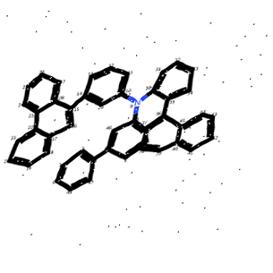 c1ccc(-c2cccc(N(c3cccc(-c4cc5ccccc5c5ccccc45)c3)c3ccccc3-c3cccc4ccccc34)c2)cc1